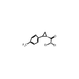 CCN(CC)C(=O)[C@@H]1CC1c1ccc(C(F)(F)F)cc1